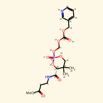 COC(=O)CCNC(=O)[C@@H]1OP(=O)(OCOC(=O)OCc2cccnc2)OCC1(C)C